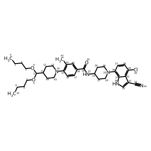 CCCCOC(OCCCC)C1CCN(c2ccc(C(=O)NC3CCN(c4ccc(Cl)c5c(C#N)c[nH]c45)CC3)cc2C)CC1